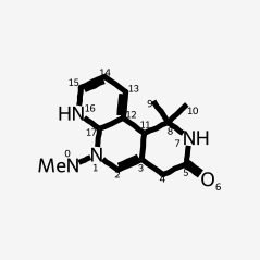 CNN1C=C2CC(=O)NC(C)(C)C2C2=CC=CNC21